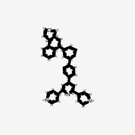 c1cc(-c2ccc(-c3cc(-c4ccncc4)nc(-c4ccncc4)c3)cc2)cc(-c2cc3ccccc3c3ccccc23)c1